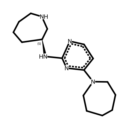 c1cc(N2CCCCCC2)nc(N[C@H]2CCCCNC2)n1